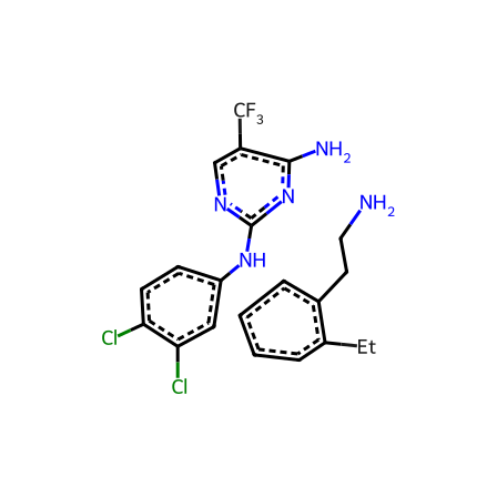 CCc1ccccc1CCN.Nc1nc(Nc2ccc(Cl)c(Cl)c2)ncc1C(F)(F)F